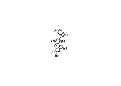 O=C1NCC(c2c[nH]c3ccc(F)cc23)NC1c1c[nH]c2cc(Br)c(F)cc12